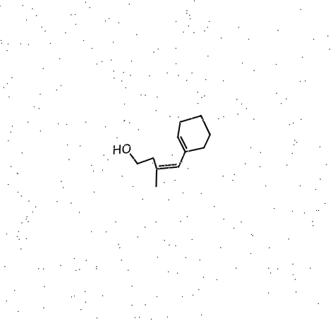 CC(=CC1=CCCCC1)CCO